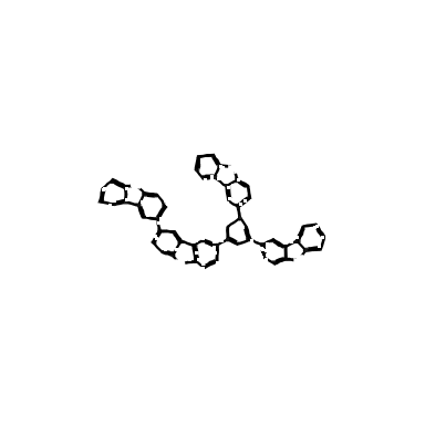 C1=C(c2ccc3sc4ccccc4c3c2)C=C(c2ccc3sc4ccc(-c5ccc6sc7ccccc7c6c5)cc4c3c2)CC1c1ccc2sc3ccccc3c2c1